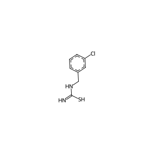 N=C(S)NCc1cccc(Cl)c1